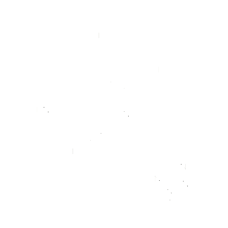 NC(=O)c1ccc(-n2c(-c3ccc(O)cc3Cl)cc3sc(-c4nnn[nH]4)cc32)cc1O